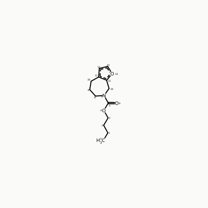 CCCCOC(=O)N1CCCc2ccoc2C1